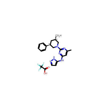 Cc1cc(Nc2ccn[nH]2)nc(N2C[C@H](C(=O)O)C[C@H](c3ccccc3)C2)n1.O=C(O)C(F)(F)F